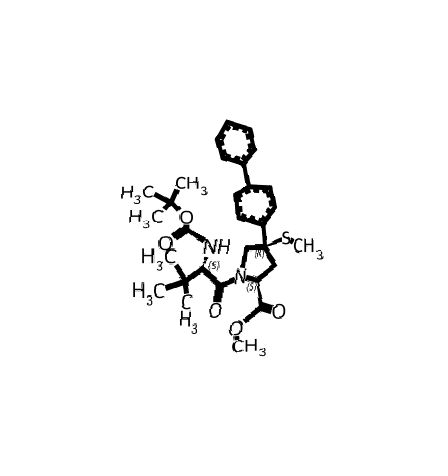 COC(=O)[C@@H]1C[C@@](SC)(c2ccc(-c3ccccc3)cc2)CN1C(=O)[C@@H](NC(=O)OC(C)(C)C)C(C)(C)C